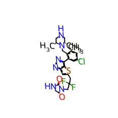 Cc1cc(Cl)cc(-c2ncnc3cc(CC(F)(F)CN4C(=O)CNC4=O)sc23)c1CN1[C@@H](C)CNC[C@@H]1C